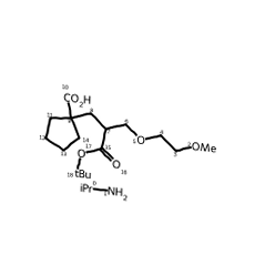 CC(C)N.COCCOCC(CC1(C(=O)O)CCCC1)C(=O)OC(C)(C)C